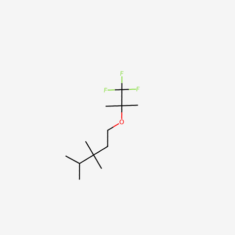 CC(C)C(C)(C)CCOC(C)(C)C(F)(F)F